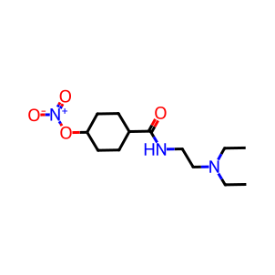 CCN(CC)CCNC(=O)C1CCC(O[N+](=O)[O-])CC1